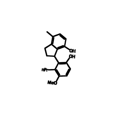 CCCc1c(OC)ccc(O)c1C1CCc2c(C)ccc(O)c21